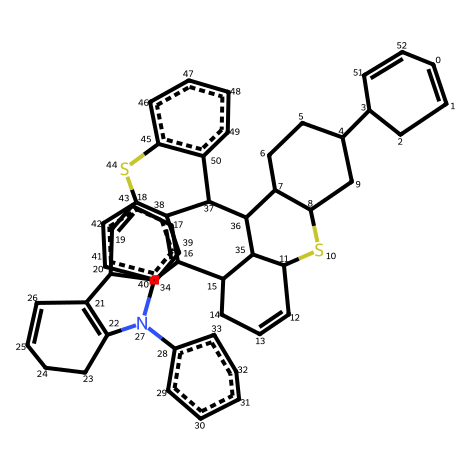 C1=CCC(C2CCC3C(C2)SC2C=CCC(C4=CC=CC5C6=C(CCC=C6)N(c6ccccc6)C45)C2C3C2c3ccccc3Sc3ccccc32)C=C1